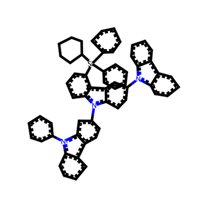 c1ccc(-n2c3ccccc3c3ccc(-n4c5ccc(-n6c7ccccc7c7ccccc76)cc5c5c([Si](c6ccccc6)(c6ccccc6)C6CCCCC6)cccc54)cc32)cc1